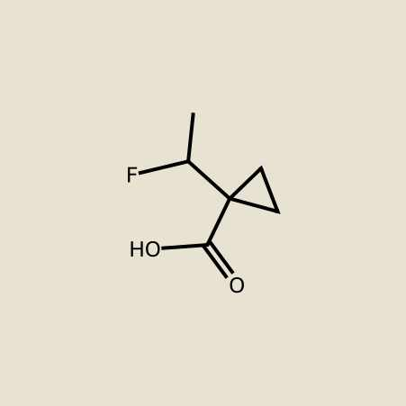 CC(F)C1(C(=O)O)CC1